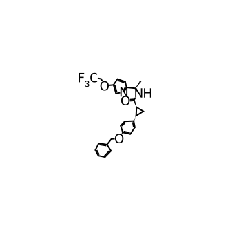 C[C@@H](NC(=O)[C@H]1C[C@@H]1c1ccc(OCc2ccccc2)cc1)c1ccc(OCC(F)(F)F)cn1